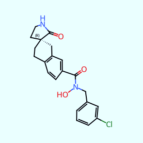 O=C(c1ccc2c(c1)C[C@@]1(CCNC1=O)CC2)N(O)Cc1cccc(Cl)c1